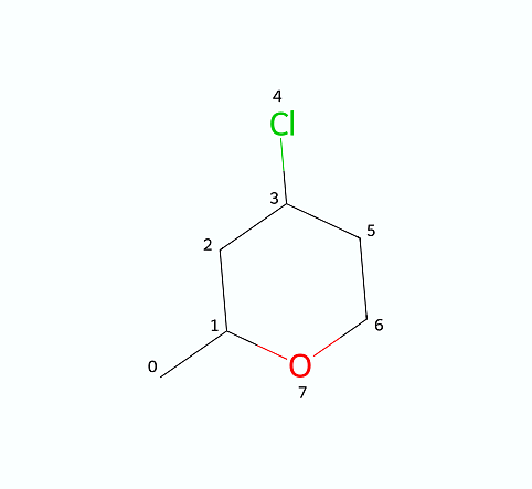 CC1CC(Cl)CCO1